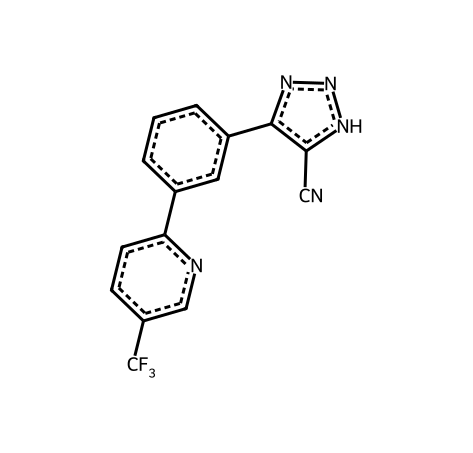 N#Cc1[nH]nnc1-c1cccc(-c2ccc(C(F)(F)F)cn2)c1